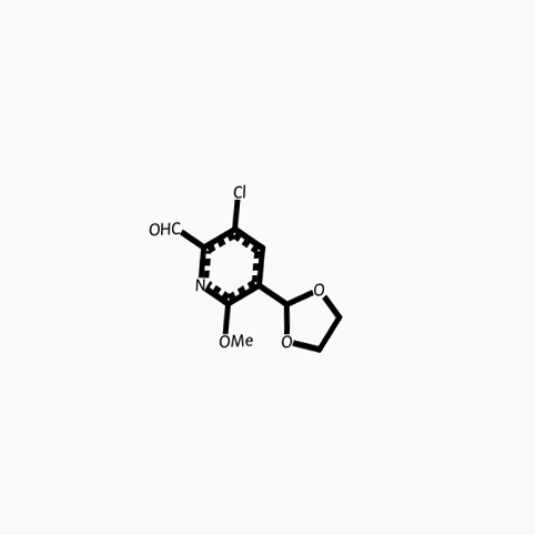 COc1nc(C=O)c(Cl)cc1C1OCCO1